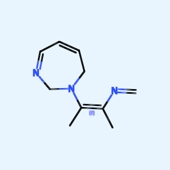 C=N/C(C)=C(/C)N1CC=CC=NC1